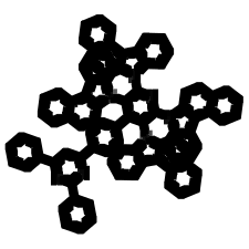 c1ccc(-c2cc(-c3ccc(-c4c(-n5c6ccccc6c6c7ccccc7ccc65)c(-n5c6ccccc6c6c7ccccc7ccc65)nc(-n5c6ccccc6c6c7ccccc7ccc65)c4-n4c5ccccc5c5c6ccccc6ccc54)cc3)nc(-c3ccccc3)n2)cc1